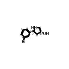 O[C@H]1CN[C@H](c2cccc(Br)c2)C1